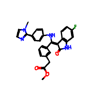 COC(=O)Cc1cccc(C(Nc2ccc(-c3nccn3C)cc2)=C2C(=O)Nc3cc(F)ccc32)c1